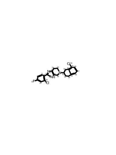 Fc1ccc(-c2nc3c([nH]2)CN(C2CCc4cccc(Cl)c4C2)CC3)c(Cl)c1